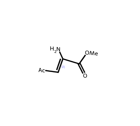 COC(=O)/C(N)=C/C(C)=O